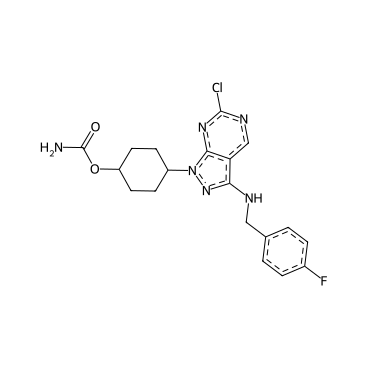 NC(=O)OC1CCC(n2nc(NCc3ccc(F)cc3)c3cnc(Cl)nc32)CC1